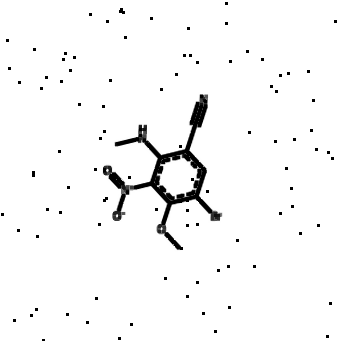 CNc1c(C#N)cc(Br)c(OC)c1[N+](=O)[O-]